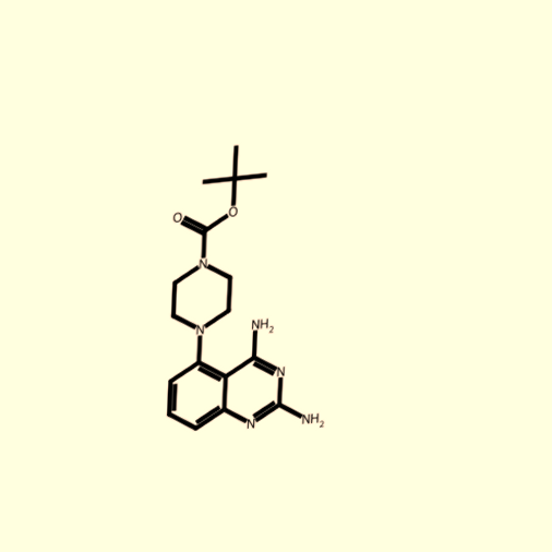 CC(C)(C)OC(=O)N1CCN(c2cccc3nc(N)nc(N)c23)CC1